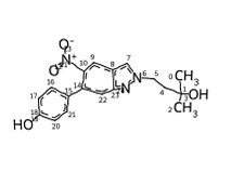 CC(C)(O)CCn1cc2cc([N+](=O)[O-])c(-c3ccc(O)cc3)cc2n1